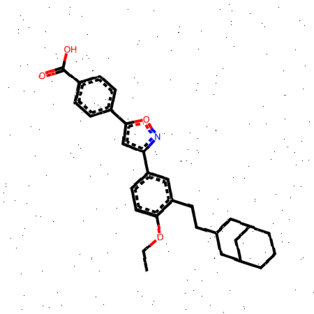 CCOc1ccc(-c2cc(-c3ccc(C(=O)O)cc3)on2)cc1CCC1CC2CCCC(C2)C1